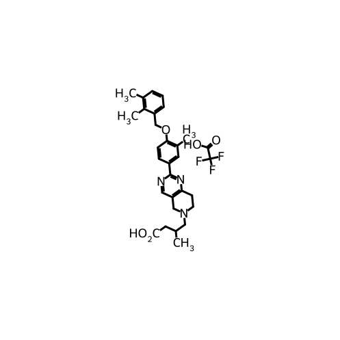 Cc1cc(-c2ncc3c(n2)CCN(CC(C)CC(=O)O)C3)ccc1OCc1cccc(C)c1C.O=C(O)C(F)(F)F